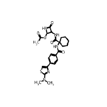 CC(=O)OC1NC(=O)C1NC(=O)C1(NC(=O)c2ccc(-c3csc(N(C)C)n3)cc2)CCCCC1